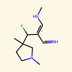 CN/C=C(/C=N)C(F)C1(C)CCN(C)C1